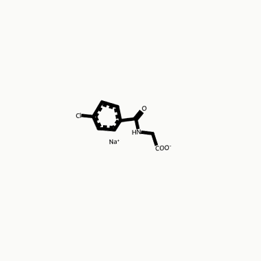 O=C([O-])CNC(=O)c1ccc(Cl)cc1.[Na+]